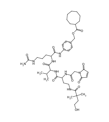 CC(C)C(NC(=O)C(CCNC(=O)C(C)(C)CCO)NC(=O)CN1C(=O)C=CC1=O)C(=O)NC(CCCNC(N)=O)C(=O)Nc1ccc(COC(=O)C2CCCCCCC2)cc1